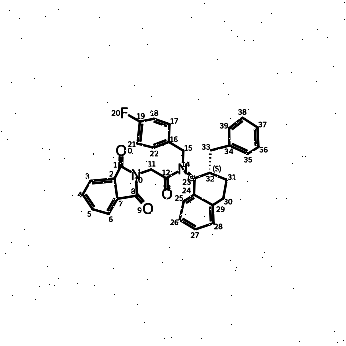 O=C1c2ccccc2C(=O)N1CC(=O)N(Cc1ccc(F)cc1)[C@@H]1c2ccccc2CC[C@H]1Cc1ccccc1